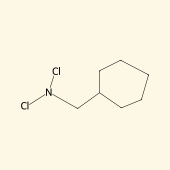 ClN(Cl)CC1CCCCC1